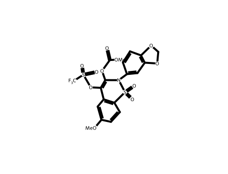 COC(=O)OC1=C(OS(=O)(=O)C(F)(F)F)c2cc(OC)ccc2S(=O)(=O)N1c1ccc2c(c1)OCO2